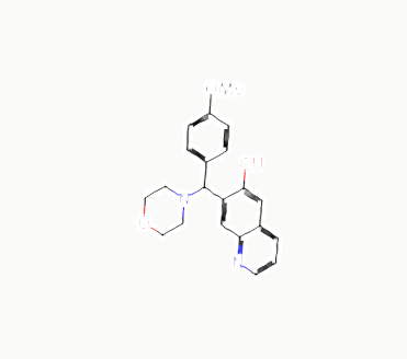 COc1ccc(C(c2cc3ncccc3cc2O)N2CCOCC2)cc1